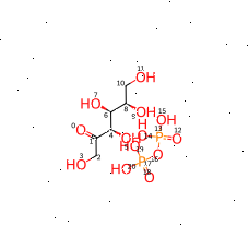 O=C(CO)[C@H](O)[C@@H](O)[C@H](O)CO.O=P(O)(O)OP(=O)(O)O